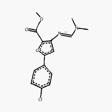 COC(=O)c1oc(-c2ccc(Cl)cc2)cc1/N=C/N(C)C